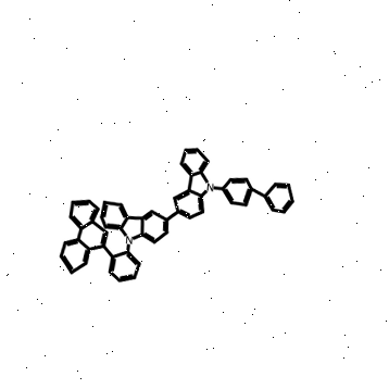 c1ccc(-c2ccc(-n3c4ccccc4c4cc(-c5ccc6c(c5)c5ccccc5n6-c5ccccc5-c5cc6ccccc6c6ccccc56)ccc43)cc2)cc1